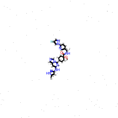 CO[C@]1(C(=O)N[C@@H](C)c2ccc(-n3cc(F)cn3)nc2)CC[C@H](c2nc(Nc3cc(C)[nH]n3)cc3cncn32)CC1